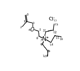 C=C(C)COCC[N+](CCC)(CCC)CCC.[Cl-]